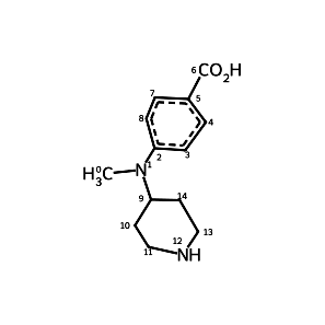 CN(c1ccc(C(=O)O)cc1)C1CCNCC1